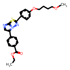 CCOC(=O)c1ccc(-c2cnc3sc(-c4ccc(OCCCCOC)cc4)nn23)cc1